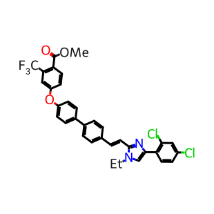 CCn1cc(-c2ccc(Cl)cc2Cl)nc1/C=C/c1ccc(-c2ccc(Oc3ccc(C(=O)OC)c(C(F)(F)F)c3)cc2)cc1